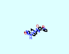 COc1nccc(Nc2ccc3cc(-c4nc5cc(C(=O)N6CC7CCC6[C@@H]7C)cc(OC)c5n4C)n(CC4CC4)c3n2)n1